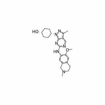 COc1cc2c(cc1Nc1ncc3c(C)nn([C@H]4CC[C@@H](O)CC4)c3n1)CN(C)CC2